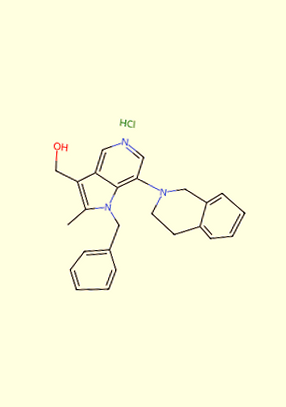 Cc1c(CO)c2cncc(N3CCc4ccccc4C3)c2n1Cc1ccccc1.Cl